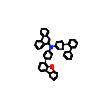 c1ccc(-c2ccccc2-c2ccc(N(c3ccc(-c4cccc5c4oc4ccccc45)cc3)c3cc4ccccc4c4ccccc34)cc2)cc1